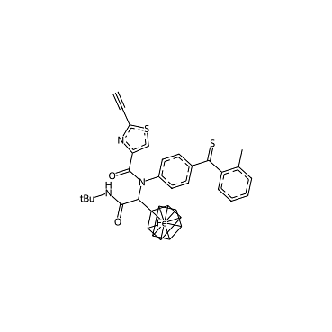 C#Cc1nc(C(=O)N(c2ccc(C(=S)c3ccccc3C)cc2)C(C(=O)NC(C)(C)C)[C]23[CH]4[CH]5[CH]6[CH]2[Fe]56432789[CH]3[CH]2[CH]7[CH]8[CH]39)cs1